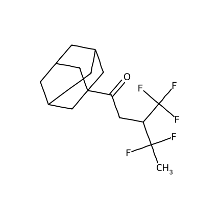 CC(F)(F)C(CC(=O)C12CC3CC(CC(C3)C1)C2)C(F)(F)F